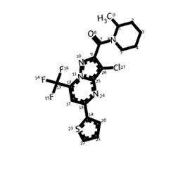 CC1CCCCN1C(=O)c1nn2c(C(F)(F)F)cc(-c3cccs3)nc2c1Cl